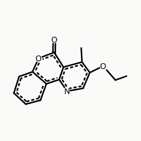 CCOc1cnc2c(c1C)c(=O)oc1ccccc12